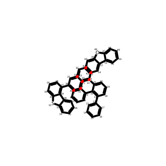 c1ccc(-c2ccccc2-c2c(-c3ccccc3)cccc2N(c2ccc(-c3cccc4sc5ccccc5c34)cc2)c2ccc3oc4ccccc4c3c2)cc1